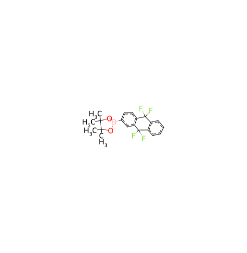 CC1(C)OB(c2ccc3c(c2)C(F)(F)c2ccccc2C3(F)F)OC1(C)C